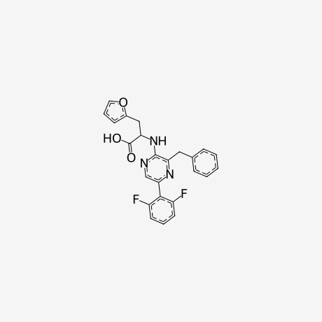 O=C(O)C(Cc1ccco1)Nc1ncc(-c2c(F)cccc2F)nc1Cc1ccccc1